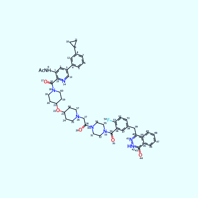 CC(=O)Nc1cc(-c2cccc(C3CC3)c2)cnc1C(=O)N1CCC(OC2CCN(CC(=O)N3CCN(C(=O)c4cc(Cc5n[nH]c(=O)c6ccccc56)ccc4F)CC3)CC2)CC1